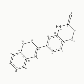 O=C1COc2ccc(C3=Nc4ccccc4SC3)cc2N1